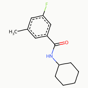 Cc1cc(F)cc(C(=O)NC2CCCCC2)c1